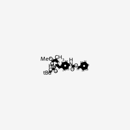 COC(=O)[C@@H](C)C[C@H](Cc1ccc(NC(=O)OCc2ccccc2)cc1)NC(=O)OC(C)(C)C